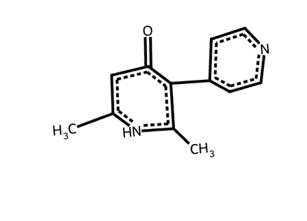 Cc1cc(=O)c(-c2ccncc2)c(C)[nH]1